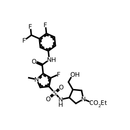 CCOC(=O)N1CC(CO)C(NS(=O)(=O)c2cn(C)c(C(=O)Nc3ccc(F)c(C(F)F)c3)c2F)C1